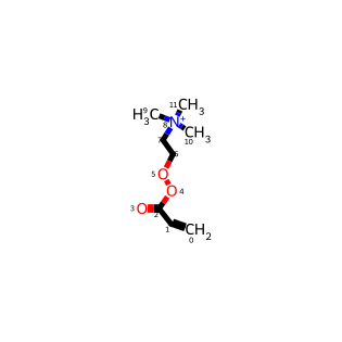 C=CC(=O)OOCC[N+](C)(C)C